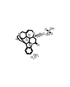 O.O.O.O.O.O=C1C[C@@H]2OCC=C3CN4CC[C@]56c7ccccc7N1[C@H]5[C@H]2[C@H]3C[C@H]46.O=S(=O)(O)O